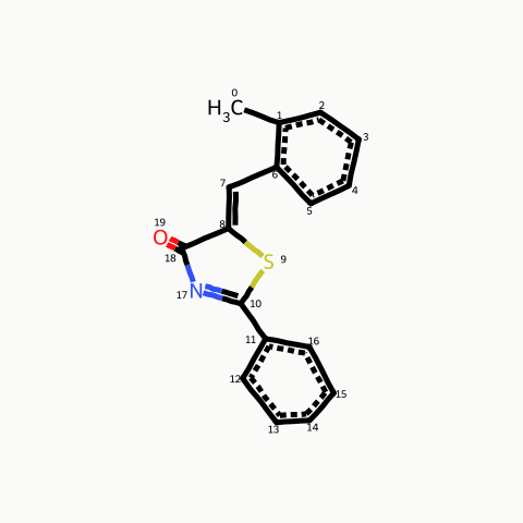 Cc1ccccc1C=C1SC(c2ccccc2)=NC1=O